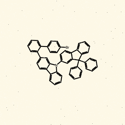 Brc1ccc(-c2ccccc2-c2ccc3c4ccccc4n(-c4ccc5c(c4)C(c4ccccc4)(c4ccccc4)c4ccccc4-5)c3c2)cc1